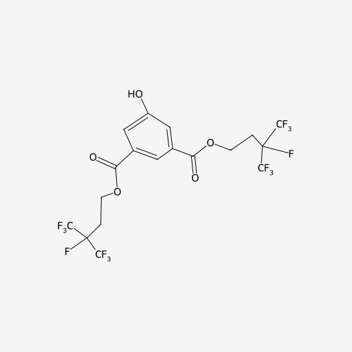 O=C(OCCC(F)(C(F)(F)F)C(F)(F)F)c1cc(O)cc(C(=O)OCCC(F)(C(F)(F)F)C(F)(F)F)c1